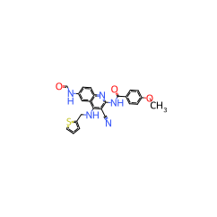 COc1ccc(C(=O)Nc2nc3ccc(NC=O)cc3c(NCc3cccs3)c2C#N)cc1